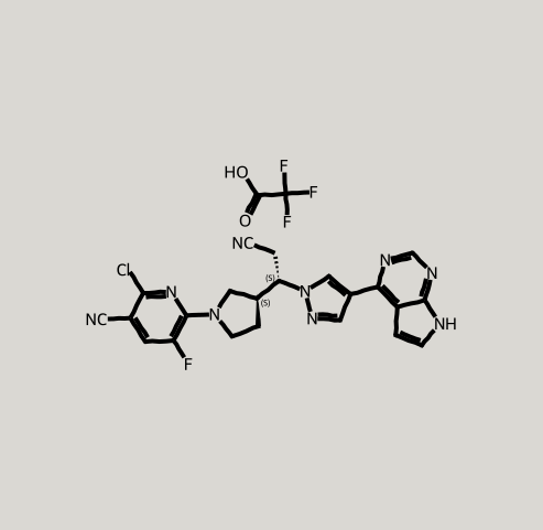 N#CC[C@@H]([C@H]1CCN(c2nc(Cl)c(C#N)cc2F)C1)n1cc(-c2ncnc3[nH]ccc23)cn1.O=C(O)C(F)(F)F